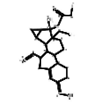 C=CC1CC2=C/C(=N/O)CCC2C2CCC3(CC)C(C4CC4[C@]3(C)OC(=O)CI)C12